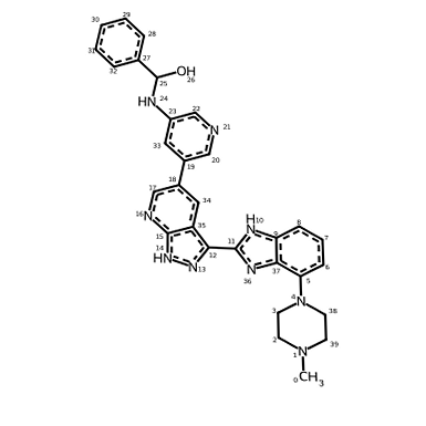 CN1CCN(c2cccc3[nH]c(-c4n[nH]c5ncc(-c6cncc(NC(O)c7ccccc7)c6)cc45)nc23)CC1